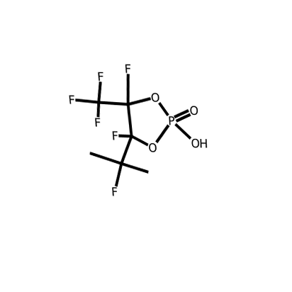 CC(C)(F)C1(F)OP(=O)(O)OC1(F)C(F)(F)F